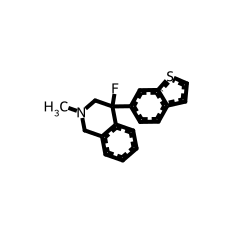 CN1Cc2ccccc2C(F)(c2ccc3ccsc3c2)C1